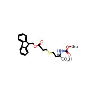 CC(C)(C)OC(=O)N[C@H](CCSCCC(=O)OCC1c2ccccc2-c2ccccc21)C(=O)O